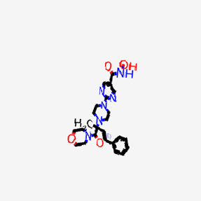 CC(/C=C/c1ccccc1)(C(=O)N1CCOCC1)N1CCN(c2ncc(C(=O)NO)cn2)CC1